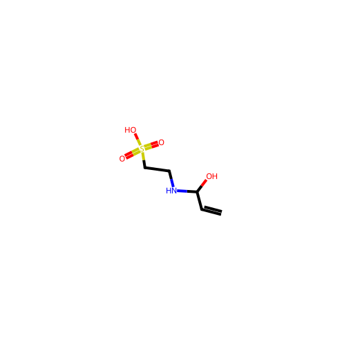 C=CC(O)NCCS(=O)(=O)O